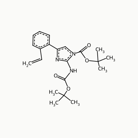 C=Cc1ccccc1-c1cn(C(=O)OC(C)(C)C)c(NC(=O)OC(C)(C)C)n1